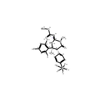 CN1C(=O)[C@H](c2ccc(S(F)(F)(F)(F)F)cc2)[C@@](C)(c2c(F)cc(F)cc2F)N/C1=N\C(=O)OC(C)(C)C